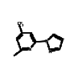 Cc1cc(C(F)(F)F)cc(-n2c[c]cn2)n1